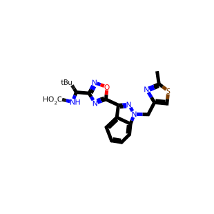 Cc1nc(Cn2nc(-c3nc(C(NC(=O)O)C(C)(C)C)no3)c3ccccc32)cs1